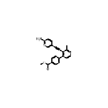 COC(=O)c1ccc(-c2ccnc(C)c2C#Cc2ccc(N)nc2)cc1